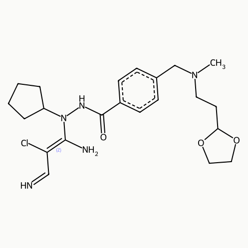 CN(CCC1OCCO1)Cc1ccc(C(=O)NN(/C(N)=C(\Cl)C=N)C2CCCC2)cc1